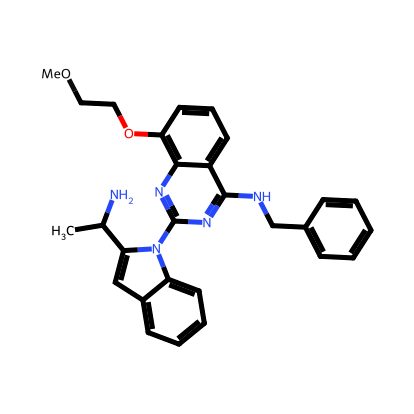 COCCOc1cccc2c(NCc3ccccc3)nc(-n3c(C(C)N)cc4ccccc43)nc12